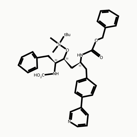 CC(C)(C)[Si](C)(C)O[C@@H](C[C@H](Cc1ccc(-c2cccnc2)cc1)NC(=O)OCc1ccccc1)[C@H](Cc1ccccc1)NC(=O)O